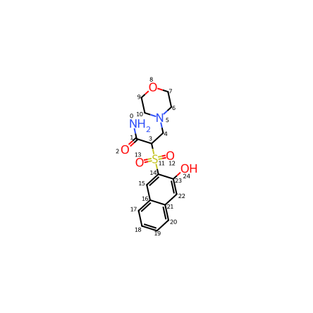 NC(=O)C(CN1CCOCC1)S(=O)(=O)c1cc2ccccc2cc1O